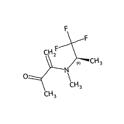 C=C(C(C)=O)N(C)[C@H](C)C(F)(F)F